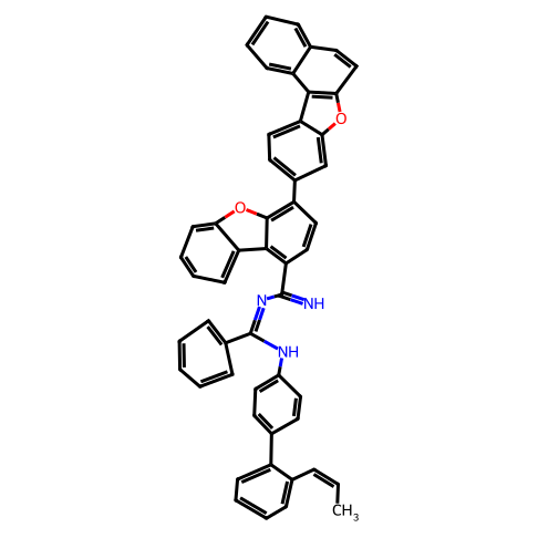 C/C=C\c1ccccc1-c1ccc(N/C(=N\C(=N)c2ccc(-c3ccc4c(c3)oc3ccc5ccccc5c34)c3oc4ccccc4c23)c2ccccc2)cc1